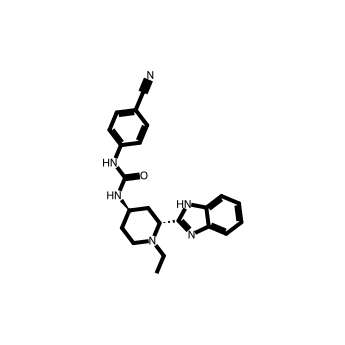 CCN1CC[C@@H](NC(=O)Nc2ccc(C#N)cc2)C[C@@H]1c1nc2ccccc2[nH]1